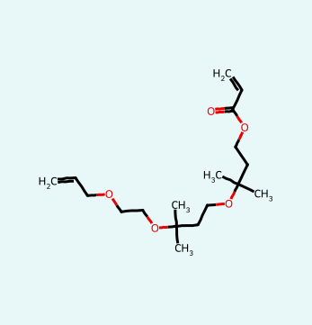 C=CCOCCOC(C)(C)CCOC(C)(C)CCOC(=O)C=C